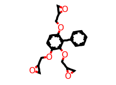 c1ccc(-c2c(OCC3CO3)ccc(OCC3CO3)c2OCC2CO2)cc1